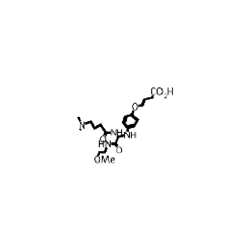 COCCNC(=O)C(NC(=O)CCCN(C)C)Nc1ccc(OCCCC(=O)O)cc1